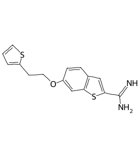 N=C(N)c1cc2ccc(OCCc3cccs3)cc2s1